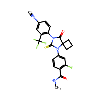 [C-]#[N+]c1ccc(N2C(=O)C3(CCC3)N(c3ccc(C(=O)NC)c(F)c3)C2=S)c(C(F)(F)F)c1